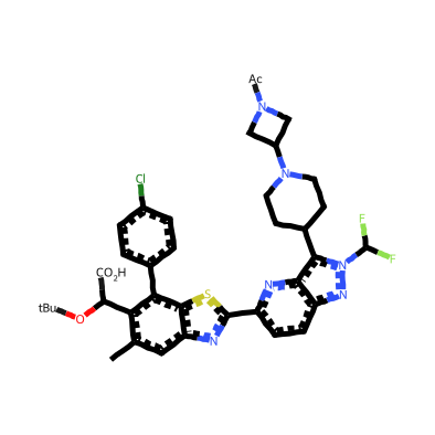 CC(=O)N1CC(N2CCC(c3c4nc(-c5nc6cc(C)c(C(OC(C)(C)C)C(=O)O)c(-c7ccc(Cl)cc7)c6s5)ccc4nn3C(F)F)CC2)C1